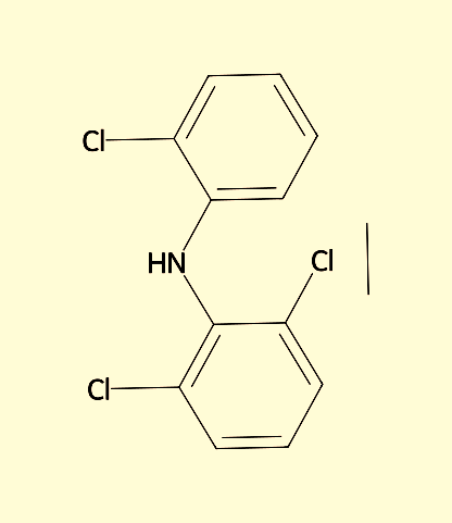 CC.Clc1ccccc1Nc1c(Cl)cccc1Cl